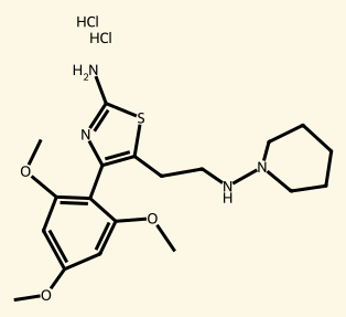 COc1cc(OC)c(-c2nc(N)sc2CCNN2CCCCC2)c(OC)c1.Cl.Cl